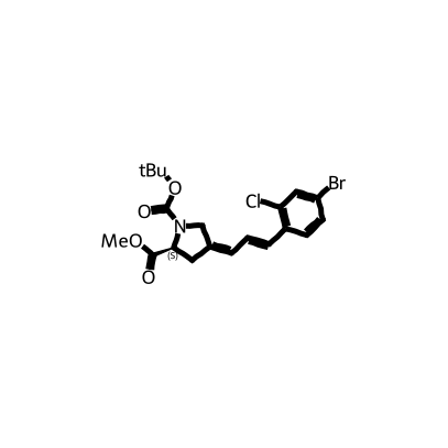 COC(=O)[C@@H]1CC(=CC=Cc2ccc(Br)cc2Cl)CN1C(=O)OC(C)(C)C